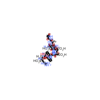 CC(NC(=O)C(CO)NC(=O)C(Cc1ccccc1)NC(=O)C(Cc1ccccc1)NC(=O)CNC(=O)C(CCC(=O)O)NC(=O)C(CCC(=O)O)NC(=O)C(CC(N)=O)NC(=O)C(CC(=O)O)NC(=O)C(CC(N)=O)NC(=O)C(NC(=O)CNC(=O)C1CCC(=O)N1)C(C)C)C(=O)NC(CCCNC(=N)N)C(=O)O